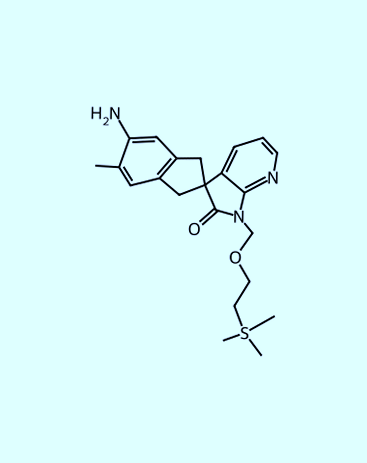 Cc1cc2c(cc1N)CC1(C2)C(=O)N(COCCS(C)(C)C)c2ncccc21